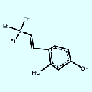 CC[Si](C=Cc1ccc(O)cc1O)(CC)CC